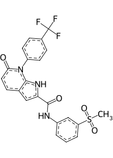 CS(=O)(=O)c1cccc(NC(=O)c2cc3ccc(=O)n(-c4ccc(C(F)(F)F)cc4)c3[nH]2)c1